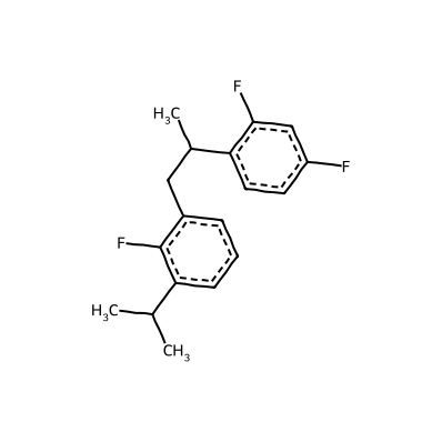 CC(C)c1cccc(CC(C)c2ccc(F)cc2F)c1F